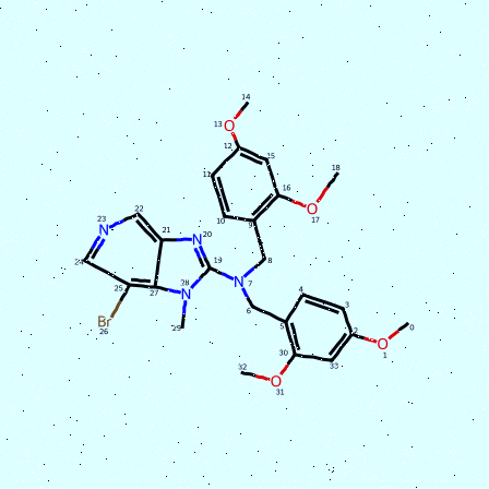 COc1ccc(CN(Cc2ccc(OC)cc2OC)c2nc3cncc(Br)c3n2C)c(OC)c1